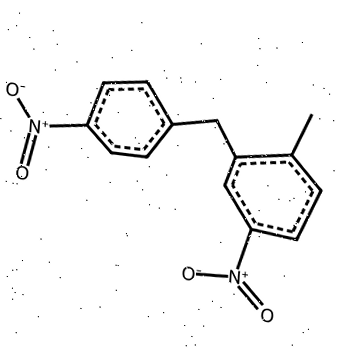 Cc1ccc([N+](=O)[O-])cc1Cc1ccc([N+](=O)[O-])cc1